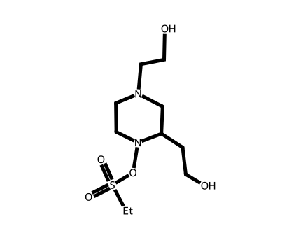 CCS(=O)(=O)ON1CCN(CCO)CC1CCO